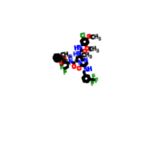 COc1cc(OC)c(NC(=O)N[C@]2(C)C[C@@H](C(=O)N[C@@H](CC(F)F)B3OC4CC5CC(C5(C)C)C4(C)O3)n3c2ncc(NCc2cccc(C(F)(F)F)c2)c3=O)cc1Cl